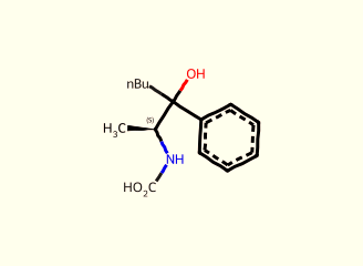 CCCCC(O)(c1ccccc1)[C@H](C)NC(=O)O